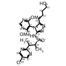 COc1ncnc(OC)c1-n1c(CCCCO)nnc1N[S+]([O-])C(C)C(C)c1ncc(Cl)cn1